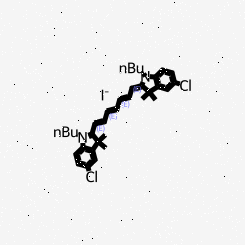 CCCCN1/C(=C/C=C/C=C/C=C/C2=[N+](CCCC)c3ccc(Cl)cc3C2(C)C)C(C)(C)c2cc(Cl)ccc21.[I-]